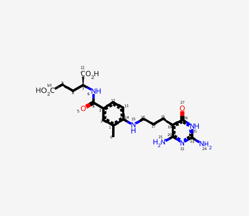 Cc1cc(C(=O)N[C@@H](CCC(=O)O)C(=O)O)ccc1NCCCc1c(N)nc(N)[nH]c1=O